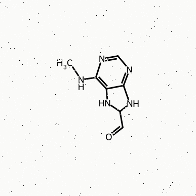 CNc1ncnc2c1NC(C=O)N2